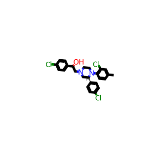 Cc1ccc(N2CCN(CC(O)c3ccc(Cl)cc3)C[C@H]2c2ccc(Cl)cc2)c(Cl)c1